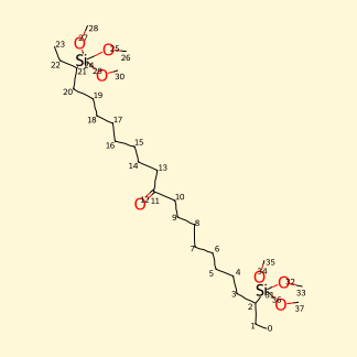 CCC(CCCCCCCCC(=O)CCCCCCCCC(CC)[Si](OC)(OC)OC)[Si](OC)(OC)OC